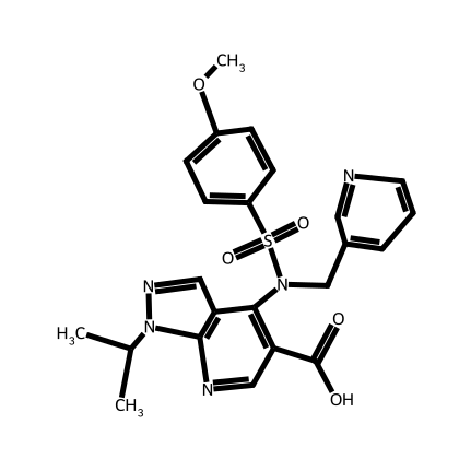 COc1ccc(S(=O)(=O)N(Cc2cccnc2)c2c(C(=O)O)cnc3c2cnn3C(C)C)cc1